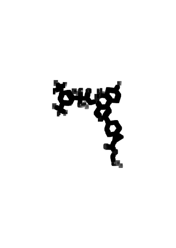 CCOC(=O)C1CC12CCC(c1cc(-c3ccc(F)cc3C)c(NCC(=O)C(C)(C)c3cc(C(F)(F)F)cc(C(F)(F)F)c3)cn1)CC2